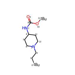 CC(C)(C)CCN1CCC(NC(=O)OC(C)(C)C)CC1